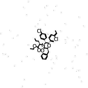 C=C(/C=C\C(Cl)=C/C)[C@@H]1O[C@@H](Cc2ccccc2)C(=O)N([C@H](CCC)C(=O)OCC)[C@@H]1c1ccc(Cl)cc1